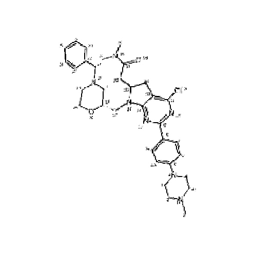 CN1CCN(c2ccc(-c3nc(Cl)c4c(n3)N(C[C@H]3CN(Cc5ccccc5)CCO3)C(CC(=O)N(C)C)C4)cc2)CC1